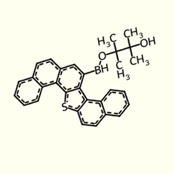 CC(C)(O)C(C)(C)OBc1cc2ccc3ccccc3c2c2sc3ccc4ccccc4c3c12